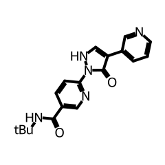 CC(C)(C)NC(=O)c1ccc(-n2[nH]cc(-c3cccnc3)c2=O)nc1